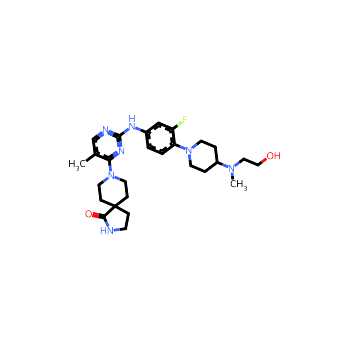 Cc1cnc(Nc2ccc(N3CCC(N(C)CCO)CC3)c(F)c2)nc1N1CCC2(CCNC2=O)CC1